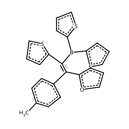 Cc1ccc(/C(=C(/B(c2cccs2)c2cccs2)c2cccs2)c2ccco2)cc1